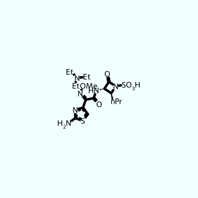 CCC[C@H]1[C@H](NC(=O)/C(=N\OC)c2csc(N)n2)C(=O)N1S(=O)(=O)O.CCN(CC)CC